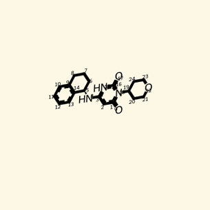 O=c1cc(N[C@H]2CCCc3ccccc32)[nH]c(=O)n1C1CCOCC1